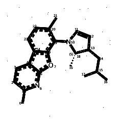 Cc1ccc2c(n1)oc1c(N3C=CC(CC(C)C)[C@@H]3C)c(C)ccc12